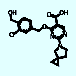 O=C(O)c1cnc(N2CCC3(CC3)C2)nc1OCc1ccc(CO)c(Cl)c1